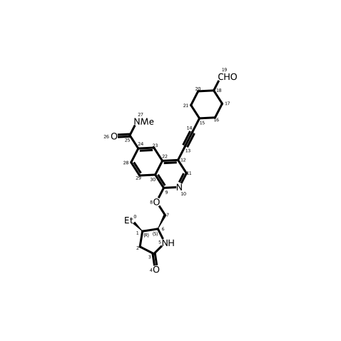 CC[C@@H]1CC(=O)N[C@@H]1COc1ncc(C#CC2CCC(C=O)CC2)c2cc(C(=O)NC)ccc12